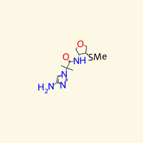 CS[C@@H]1COC[C@H]1NC(=O)C(C)(C)n1cnc(N)c1